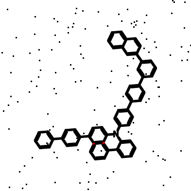 c1ccc(-c2ccc(-c3ccc(N(c4ccc(-c5ccc(-c6cccc(-c7ccc8ccccc8c7)c6)cc5)cc4)c4ccccc4-c4ccccc4)cc3)cc2)cc1